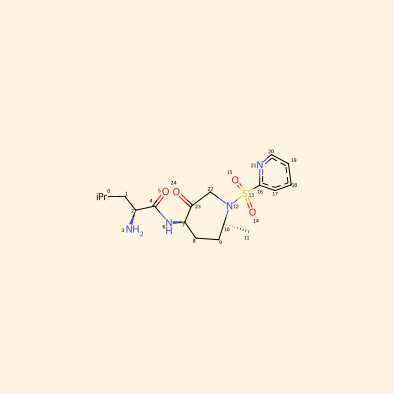 CC(C)C[C@H](N)C(=O)N[C@@H]1CC[C@@H](C)N(S(=O)(=O)c2ccccn2)CC1=O